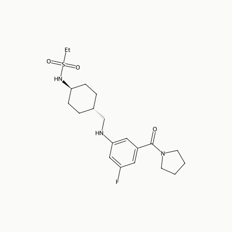 CCS(=O)(=O)N[C@H]1CC[C@H](CNc2cc(F)cc(C(=O)N3CCCC3)c2)CC1